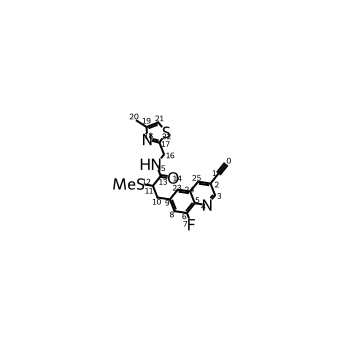 C#Cc1cnc2c(F)cc(CC(SC)C(=O)NCc3nc(C)cs3)cc2c1